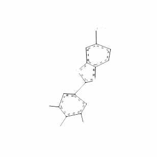 CCCCCCc1ccc2sc(-c3cc(F)c(F)c(F)c3)nc2c1